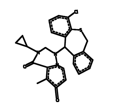 Cc1c2n(ccc1=O)N(C1c3ccccc3CSc3c(Cl)cccc31)CN(C1CC1)C2=O